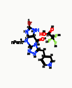 CCCCCn1c2nc(Br)[nH]c2c(=O)n2c(Cc3ccncc3)nnc12.O=C(O)C(F)(F)F